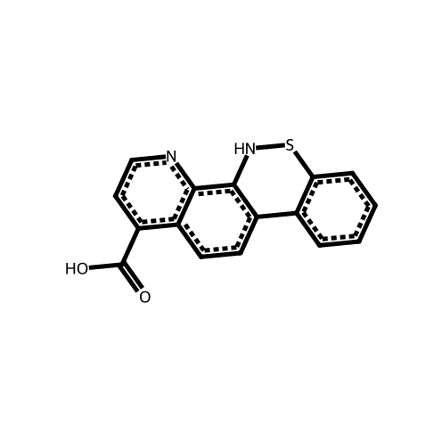 O=C(O)c1ccnc2c3c(ccc12)-c1ccccc1SN3